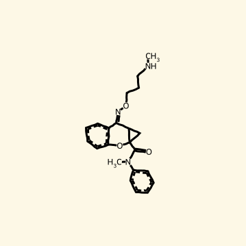 CNCCCON=C1c2ccccc2OC2(C(=O)N(C)c3ccccc3)CC12